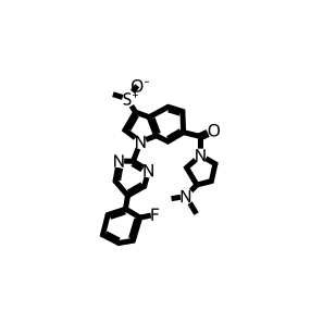 CN(C)C1CCN(C(=O)c2ccc3c([S+](C)[O-])cn(-c4ncc(-c5ccccc5F)cn4)c3c2)C1